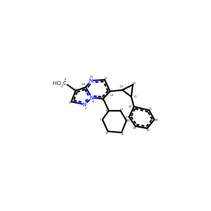 O=C(O)c1cnn2c(C3CCCCC3)c(C3CC3c3ccccc3)cnc12